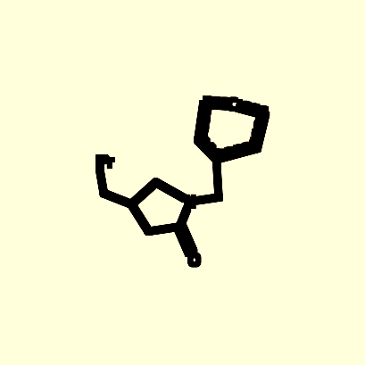 CC(C)CC1CC(=O)N(Cc2ccccc2)C1